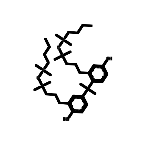 CCCC[Si](C)(C)O[Si](C)(C)CCCc1cc(C(C)(C)c2ccc(O)cc2CCC[Si](C)(C)O[Si](C)(C)CCCC)ccc1O